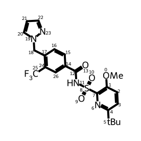 COc1ccc(C(C)(C)C)nc1S(=O)(=O)NC(=O)c1ccc(Cn2cccn2)c(C(F)(F)F)c1